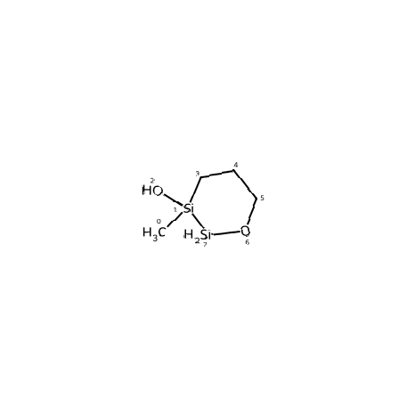 C[Si]1(O)CCCO[SiH2]1